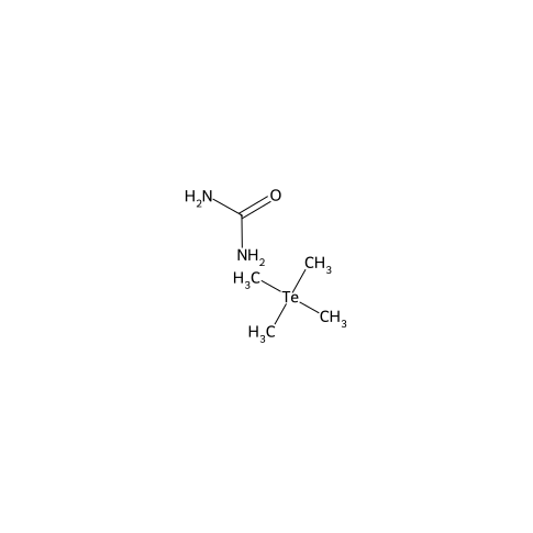 C[Te](C)(C)C.NC(N)=O